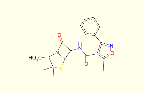 Cc1onc(-c2ccccc2)c1C(=O)NC1C(=O)N2C1SC(C)(C)C2C(=O)O